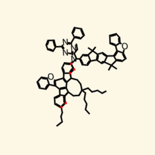 CCCCCCCC12CCC(CCCCC)(CCCCC)CCC3(CCCCCCC)c4ccccc4-c4c3c1c(c1oc3ccccc3c41)-c1ccc(N(c3ccc4c(c3)C(C)(C)c3cc5c(cc3-4)C(C)(C)c3ccc4oc6ccccc6c4c3-5)c3nc(-c4ccccc4)nc(-c4ccccc4)n3)cc12